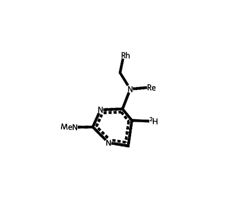 [2H]c1cnc(NC)nc1[N]([Re])[CH2][Rh]